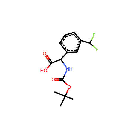 CC(C)(C)OC(=O)NC(C(=O)O)c1cccc(C(F)F)c1